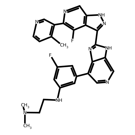 Cc1ccncc1-c1ncc2[nH]nc(-c3nc4c(-c5cc(F)cc(NCCN(C)C)c5)cncc4[nH]3)c2c1F